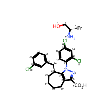 CC(C)[C@H](N)CO.O=C(O)c1nn(-c2ccc(Cl)cc2Cl)c2c1CCCC[C@H]2Cc1cccc(Cl)c1